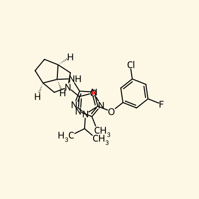 Cc1noc(N2C[C@H]3CC[C@@H](C2)[C@H]3Nc2nc(Oc3cc(F)cc(Cl)c3)n(C(C)C)n2)n1